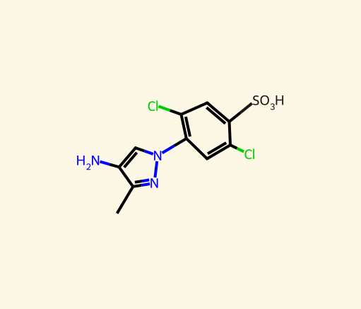 Cc1nn(-c2cc(Cl)c(S(=O)(=O)O)cc2Cl)cc1N